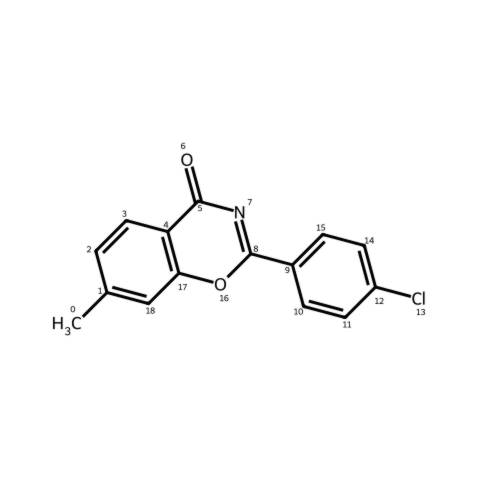 Cc1ccc2c(=O)nc(-c3ccc(Cl)cc3)oc2c1